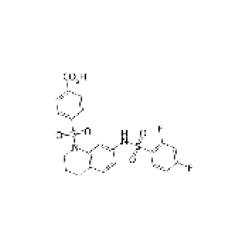 O=C(O)c1ccc(S(=O)(=O)N2CCCc3ccc(NS(=O)(=O)c4ccc(F)cc4F)cc32)cc1